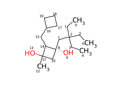 CCC(CC)(CC)C[C@@]1(O)CC(C)(O)C1CC1CCC1